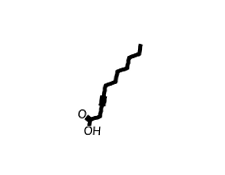 CCCCCCCC#CCC(=O)O